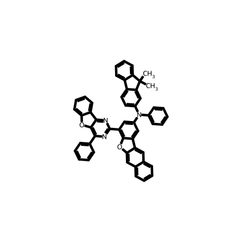 CC1(C)c2ccccc2-c2ccc(N(c3ccccc3)c3cc(-c4nc(-c5ccccc5)c5oc6ccccc6c5n4)c4oc5cc6ccccc6cc5c4c3)cc21